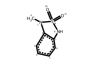 CN1c2ccccc2NS1(=O)=O